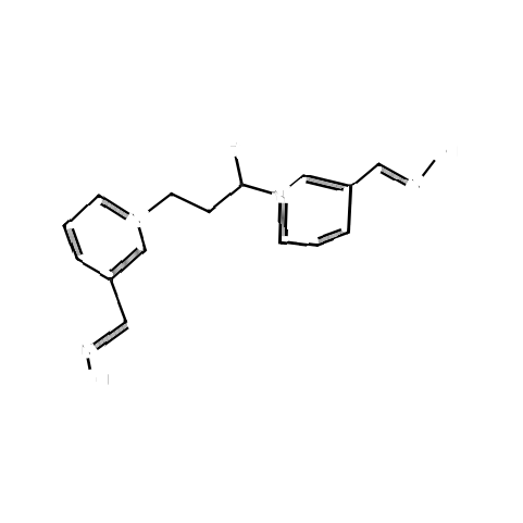 ON=Cc1ccc[n+](CCC(Br)[n+]2cccc(C=NO)c2)c1